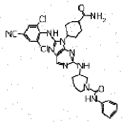 N#Cc1cc(Cl)c(Nc2nc3cnc(NC4CCCN(C(=O)Nc5ccccc5)C4)nc3n2C2CCC(C(N)=O)CC2)c(Cl)c1